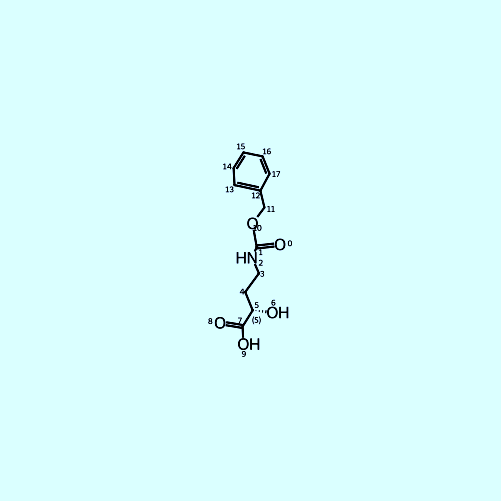 O=C(NCC[C@H](O)C(=O)O)OCc1ccccc1